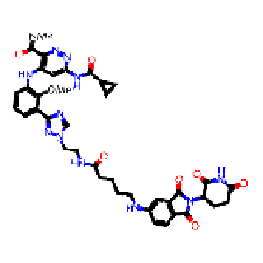 CNC(=O)c1nnc(NC(=O)C2CC2)cc1Nc1cccc(-c2ncn(CCNC(=O)CCCCNc3ccc4c(c3)C(=O)N(C3CCC(=O)NC3=O)C4=O)n2)c1OC